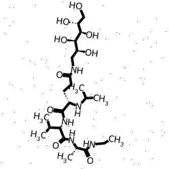 CCNC(=O)[C@H](C)NC(=O)[C@@H](NC(=O)[C@H](CCC(=O)NC[C@H](O)[C@@H](O)[C@H](O)[C@H](O)CO)NC(C)C)C(C)C